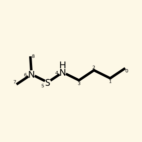 CCCCNSN(C)C